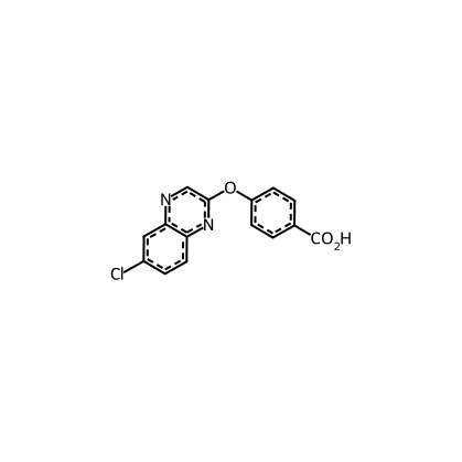 O=C(O)c1ccc(Oc2cnc3cc(Cl)ccc3n2)cc1